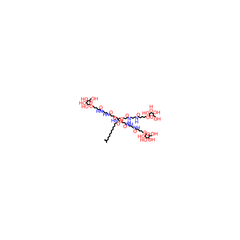 C=C(C)CCCCCCCCCCC(=O)NC(COCCC(=O)NCCCNC(=O)CCCCO[C@H]1OC(CO)[C@@H](O)C(O)C1O)(COCCC(=O)NCCCNC(=O)CCCCO[C@H]1OC(CO)[C@@H](O)C(O)C1O)COCCC(=O)NCCCNC(=O)CCCCO[C@H]1OC(CO)[C@@H](O)C(O)C1O